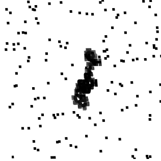 O=C(O)C[C@H](Cc1ccc2ccccc2c1)NS(=O)(=O)c1cccc(OCCCCNc2ccccn2)c1